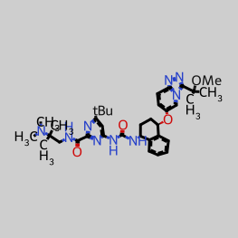 COC(C)(C)c1nnc2ccc(O[C@@H]3CC[C@H](NC(=O)Nc4cc(C(C)(C)C)nc(C(=O)NCC(C)(C)N(C)C)n4)c4ccccc43)cn12